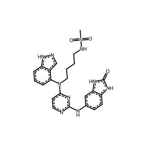 CS(=O)(=O)NCCCCN(c1ccnc(Nc2ccc3[nH]c(=O)[nH]c3c2)n1)c1cccc2[nH]ncc12